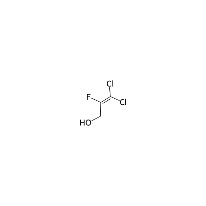 OCC(F)=C(Cl)Cl